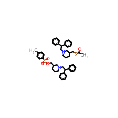 CC(=O)SCC1CCCN(CC(c2ccccc2)c2ccccc2)C1.Cc1ccc(S(=O)(=O)OCC2CCCN(CC(c3ccccc3)c3ccccc3)C2)cc1